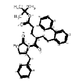 CC(C)(C)OC(=O)CC[C@@H](CCc1ccccc1-c1ccccc1)C(=O)N1C(=O)OC[C@@H]1Cc1ccccc1